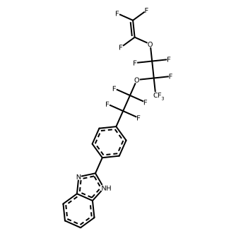 FC(F)=C(F)OC(F)(F)C(F)(OC(F)(F)C(F)(F)c1ccc(-c2nc3ccccc3[nH]2)cc1)C(F)(F)F